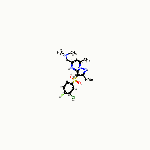 CNc1nn2c(C)cc(CN(C)C)nc2c1S(=O)(=O)c1ccc(F)c(Cl)c1